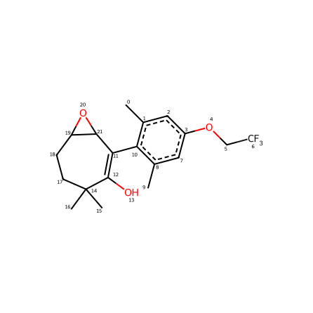 Cc1cc(OCC(F)(F)F)cc(C)c1C1=C(O)C(C)(C)CCC2OC12